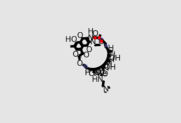 CO[C@H]1/C=C/O[C@@]2(C)Oc3c(C)c(O)c4c(c3C2=O)C(=O)C(N2CCOCC2)=C(NC(=O)/C(C)=C\C=C\[C@H](C)[C@H](O)[C@@H](C)[C@@H](O)[C@@H](C)[C@H](OC(=O)NCCN(C)C)[C@@H]1C)C4=O